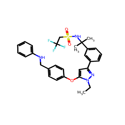 CCn1nc(-c2cccc(C(C)(C)NS(=O)(=O)CC(F)(F)F)c2)cc1Oc1ccc(CNc2ccccc2)cc1